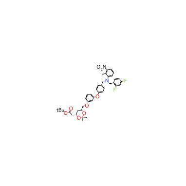 Cc1c(N(Cc2ccc(Oc3cccc(OC[C@@H]4C[C@@H](CC(=O)OC(C)(C)C)OC(C)(C)O4)c3)cc2)Cc2ccc(F)cc2F)cccc1[N+](=O)[O-]